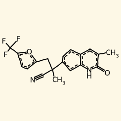 Cc1cc2ccc(C(C)(C#N)Cc3ccc(C(F)(F)F)o3)cc2[nH]c1=O